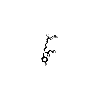 CC(C)CC(=O)N(CCCCNC(=O)OC(C)(C)C)Cc1ccc(F)cc1